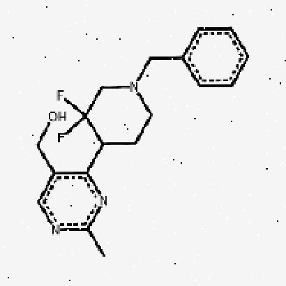 Cc1ncc(CO)c(C2CCN(Cc3ccccc3)CC2(F)F)n1